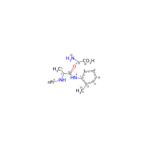 CCCNC(C)C(=O)Nc1ccccc1C.NCC(=O)O